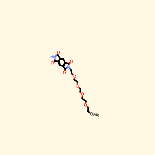 COCCOCCOCCOCCOCCn1c(=O)c2cc3c(=O)[nH]c(=O)c3cc2c1=O